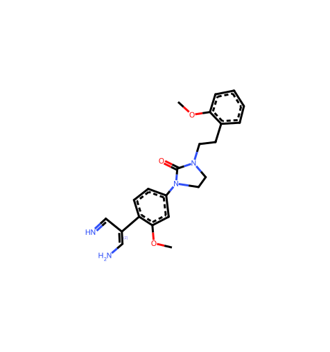 COc1ccccc1CCN1CCN(c2ccc(/C(C=N)=C/N)c(OC)c2)C1=O